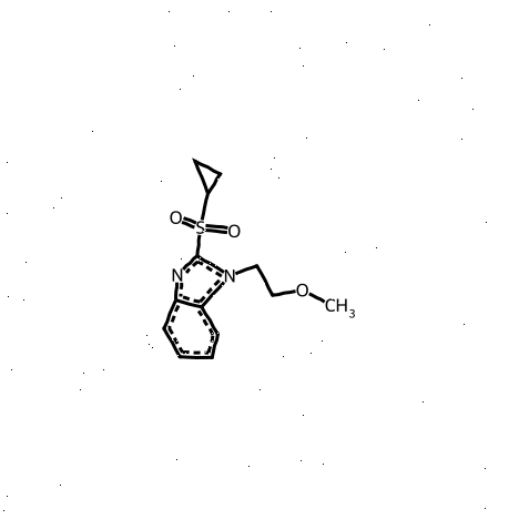 COCCn1c(S(=O)(=O)C2CC2)nc2ccccc21